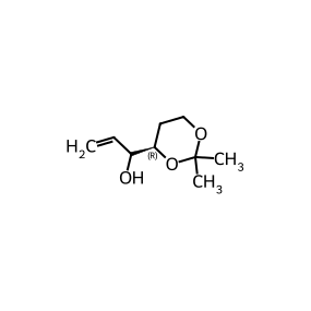 C=CC(O)[C@H]1CCOC(C)(C)O1